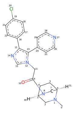 CN1C[C@H]2CC[C@@H]1CN2C(=O)Cn1cnc(-c2ccc(Cl)cc2)c1-c1ccncc1